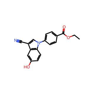 CCOC(=O)c1ccc(-n2cc(C#N)c3cc(O)ccc32)cc1